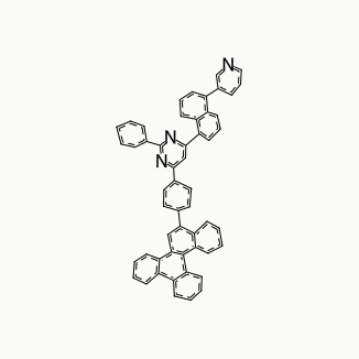 c1ccc(-c2nc(-c3ccc(-c4cc5c6ccccc6c6ccccc6c5c5ccccc45)cc3)cc(-c3cccc4c(-c5cccnc5)cccc34)n2)cc1